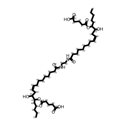 CCCCCC(OC(=O)CCCC(=O)O)C(O)C/C=C\CCCCCCCC(=O)NCCNC(=O)CCCCCCC/C=C\CC(O)C(CCCCC)OC(=O)CCCC(=O)O